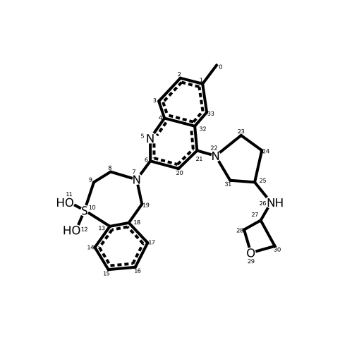 Cc1ccc2nc(N3CCS(O)(O)c4ccccc4C3)cc(N3CCC(NC4COC4)C3)c2c1